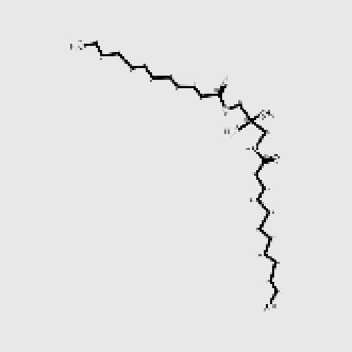 CCCCCCCCCCCC(=O)OCC(C)(C)COC(=O)CCCCCCCCCCC